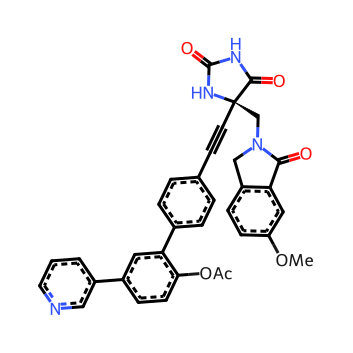 COc1ccc2c(c1)C(=O)N(C[C@@]1(C#Cc3ccc(-c4cc(-c5cccnc5)ccc4OC(C)=O)cc3)NC(=O)NC1=O)C2